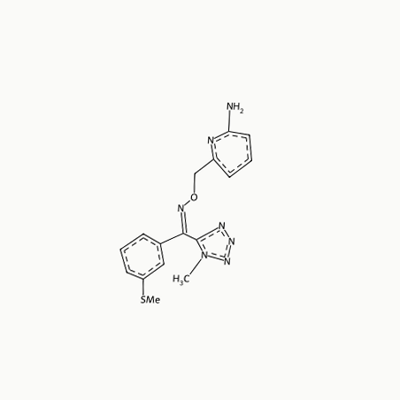 CSc1cccc(C(=NOCc2cccc(N)n2)c2nnnn2C)c1